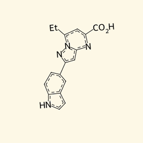 CCc1cc(C(=O)O)nc2cc(-c3ccc4[nH]ccc4c3)nn12